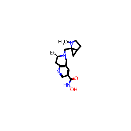 CC[C@@H]1Cc2ncc(C(=O)NO)cc2CN1CC12CC1CCN2C